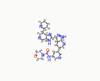 O=C(Nc1cncc(-c2cnc3[nH]nc(-c4nc5c(-c6ccccn6)cncc5[nH]4)c3c2)c1)N1CCOCC1